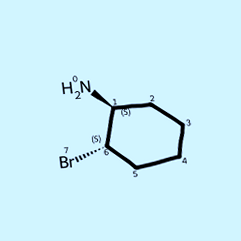 N[C@H]1CCCC[C@@H]1Br